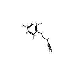 Cc1cc(C)c(CCCC#N)c(C)c1